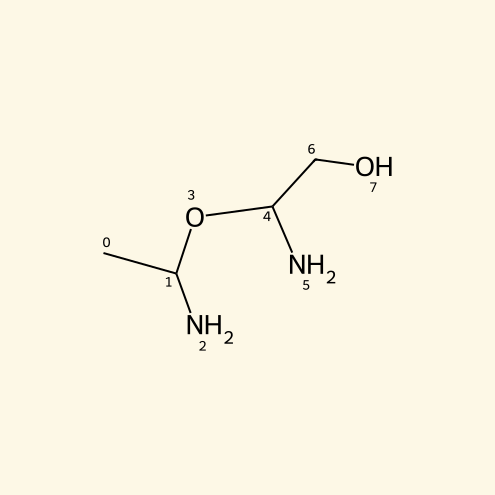 CC(N)OC(N)CO